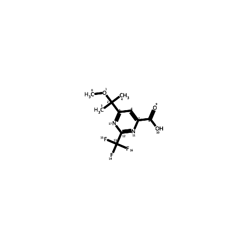 COC(C)(C)c1cc(C(=O)O)nc(C(F)(F)F)n1